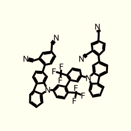 N#Cc1ccc(-c2ccc3c4ccccc4n(-c4ccc(C(F)(F)F)c(-c5cc(-n6c7ccccc7c7ccc(-c8ccc(C#N)cc8C#N)cc76)ccc5C(F)(F)F)c4)c3c2)c(C#N)c1